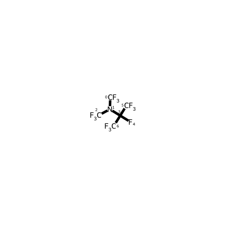 FC(F)(F)N(C(F)(F)F)C(F)(C(F)(F)F)C(F)(F)F